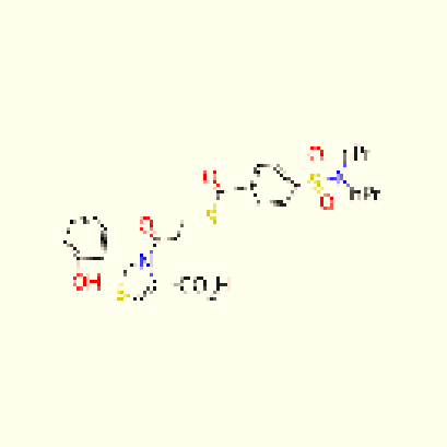 CCCN(CCC)S(=O)(=O)c1ccc(C(=O)SCCC(=O)N2C(C(=O)O)=CS[C@@H]2c2ccccc2O)cc1